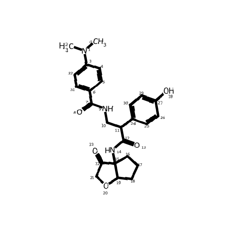 CN(C)c1ccc(C(=O)NCC(C(=O)NC23CCCC2OCC3=O)c2ccc(O)cc2)cc1